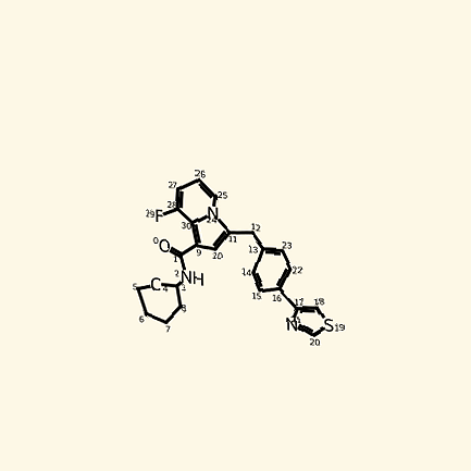 O=C(NC1CCCCC1)c1cc(Cc2ccc(-c3cscn3)cc2)n2cccc(F)c12